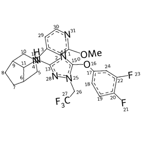 COc1cc(N2CC3CCC(C2)C3Nc2nc(Oc3ccc(F)c(F)c3)n(CC(F)(F)F)n2)ccn1